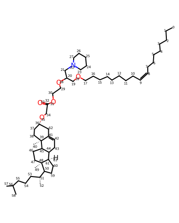 CCCCCCCC/C=C\CCCCCCCCOCC(CN1CCCCC1)OCCOC(=O)CO[C@H]1CC[C@@]2(C)C(=CCC3C2CC[C@]2(C)C([C@H](C)CCCC(C)C)CC[C@H]32)C1